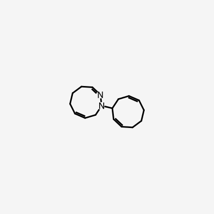 C1=CCC(N2CC=CCCCC=N2)C=CCCC1